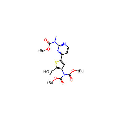 CN(C(=O)OC(C)(C)C)c1nccc(-c2cc(N(C(=O)OC(C)(C)C)C(=O)OC(C)(C)C)c(C(=O)O)s2)n1